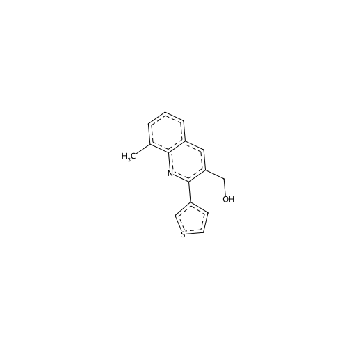 Cc1cccc2cc(CO)c(-c3ccsc3)nc12